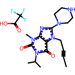 CC#CCn1c(N2CCNCC2)nc2c1c(=O)n(C(C)C)c(=O)n2C.O=C(O)C(F)(F)F